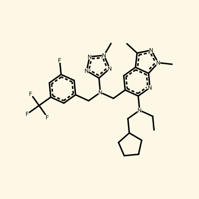 CCN(CC1CCCC1)c1nc2c(cc1CN(Cc1cc(F)cc(C(F)(F)F)c1)c1nnn(C)n1)c(C)nn2C